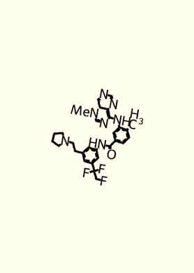 CN/C=N\C(Nc1cc(C(=O)Nc2cc(CCN3CCCC3)cc(C(F)(F)CF)c2)ccc1C)=C1/CC=NC=N1